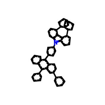 c1ccc(-c2ccc3c(-c4ccc(-n5c6cccc(-c7ccccc7)c6c6c(-c7ccccc7)cccc65)cc4)c4ccccc4c(-c4ccccc4)c3c2)cc1